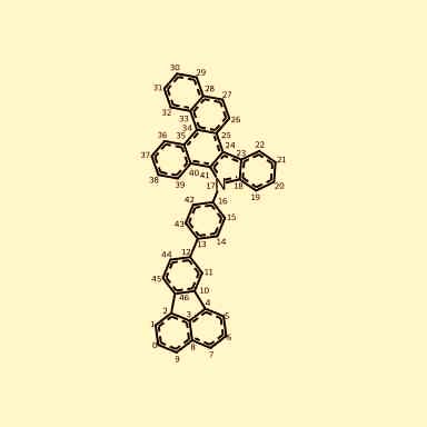 c1cc2c3c(cccc3c1)-c1cc(-c3ccc(-n4c5ccccc5c5c6ccc7ccccc7c6c6ccccc6c54)cc3)ccc1-2